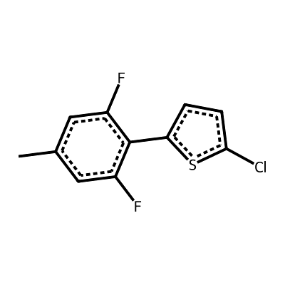 Cc1cc(F)c(-c2ccc(Cl)s2)c(F)c1